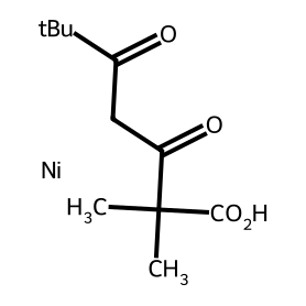 CC(C)(C)C(=O)CC(=O)C(C)(C)C(=O)O.[Ni]